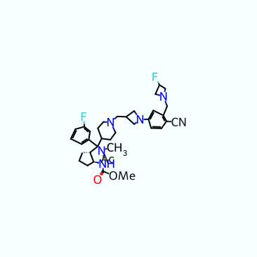 COC(=O)N[C@H]1CCC[C@@H]1[C@](c1cccc(F)c1)(C1CCN(CC2CN(c3ccc(C#N)c(CN4CC(F)C4)c3)C2)CC1)N(C)C(C)=O